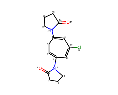 O=C1CCCN1C1=CCC(N2CCCC2=O)=CC(Cl)=C1